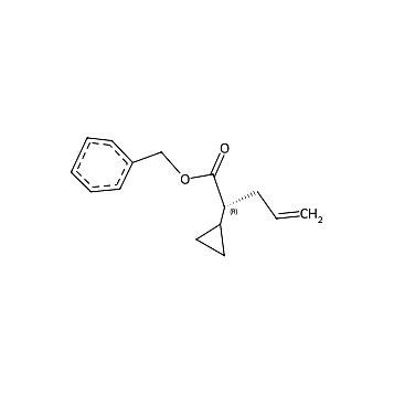 C=CC[C@@H](C(=O)OCc1ccccc1)C1CC1